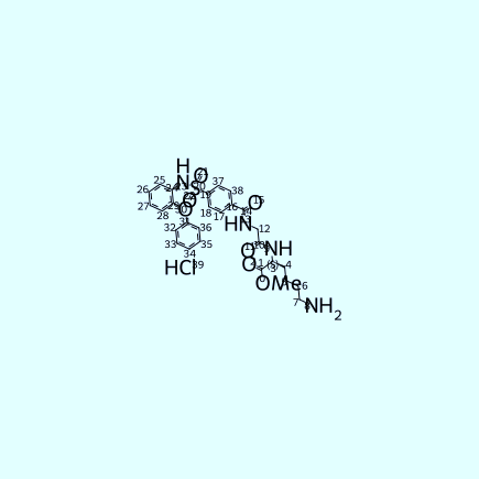 COC(=O)[C@H](CCCCN)NC(=O)CNC(=O)c1ccc(S(=O)(=O)Nc2ccccc2Oc2ccccc2)cc1.Cl